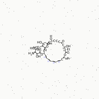 CCC[C@@H]1C/C=C/C=C/C=C/C=C/C(O[C@@H]2O[C@H](C)[C@@H](O)[C@H](N)[C@H]2O)C[C@@H]2O[C@](O)(CC(O)CCCC(=O)C[C@@H](O)[C@H](CC)C(=O)O1)C[C@H](O)[C@H]2C(=O)O